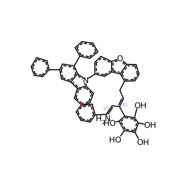 N/C(=C\C(=C/Cc1cccc2oc3ccc(-n4c5ccccc5c5cc(-c6ccccc6)cc(-c6ccccc6)c54)cc3c12)c1c(O)c(O)c(O)c(O)c1O)c1ccccc1